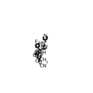 CC1(C(=O)OCC#N)COC(C(N)=O)(c2nc(-c3ccc(F)cc3)c(-c3ccnc(NCc4ccncc4)n3)[nH]2)OC1